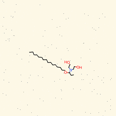 CCCCCCCCCCCCCCCCOC(CC)N(CCO)CCO